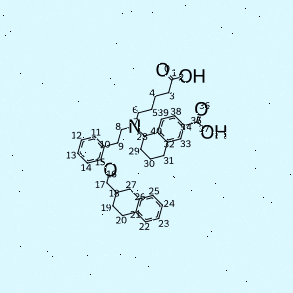 O=C(O)CCCCN(CCc1ccccc1OCC1CCc2ccccc2C1)C1CCCc2cc(C(=O)O)ccc21